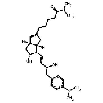 CN(C)C(=O)CCCCC1=C[C@H]2C[C@@H](O)[C@H](/C=C/[C@@H](O)Cc3ccc(N(C)C)cc3)[C@H]2C1